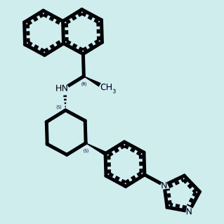 C[C@@H](N[C@H]1CCC[C@H](c2ccc(-n3ccnc3)cc2)C1)c1cccc2ccccc12